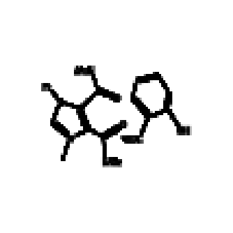 CCn1c[n+](C)c(C(=O)NC)c1C(=O)NC.O=C([O-])c1ccccc1O